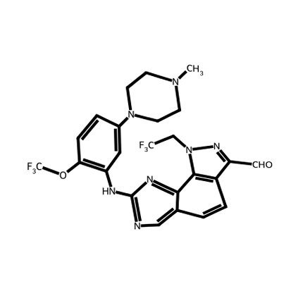 CN1CCN(c2ccc(OC(F)(F)F)c(Nc3ncc4ccc5c(C=O)nn(CC(F)(F)F)c5c4n3)c2)CC1